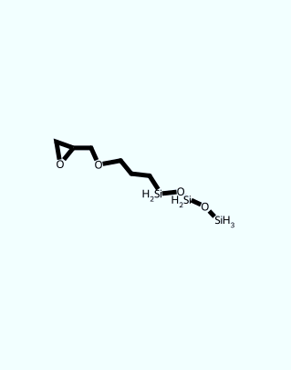 [SiH3]O[SiH2]O[SiH2]CCCOCC1CO1